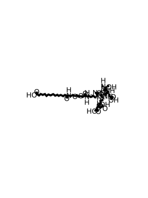 CN[C@@H](CO)C(=O)N[C@@H](CCC(=O)O)C(=O)N[C@@H](CCCCN(CC(=O)O)CC(=O)O)C(=O)N[C@@H](CCCCNC(=O)COCCOCCNC(=O)CCCCCCCCCCCCCCC(=O)O)C(N)=O